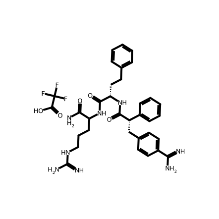 N=C(N)NCCCC(NC(=O)[C@H](CCc1ccccc1)NC(=O)[C@@H](Cc1ccc(C(=N)N)cc1)c1ccccc1)C(N)=O.O=C(O)C(F)(F)F